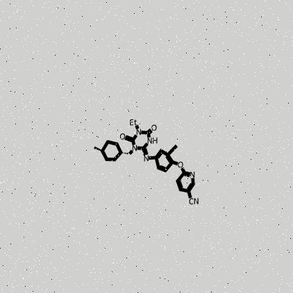 CCn1c(=O)[nH]/c(=N\c2ccc(Oc3ccc(C#N)cn3)c(C)c2)n(C[C@H]2CC[C@H](C)CC2)c1=O